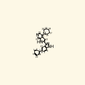 c1ccc(-c2ccc3[nH]nc(-c4cc5c(N6CCCCC6)cncc5[nH]4)c3c2)cc#1